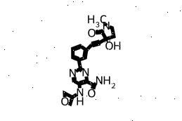 CN1CC[C@@](O)(C#Cc2cccc(-c3ncc(NC4COC4)c(C(N)=O)n3)c2)C1=O